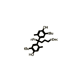 CCCCCCCCCCCCCC(CCC)(c1cc(C(C)(C)C)c(O)cc1C)c1cc(C(C)(C)C)c(O)cc1C